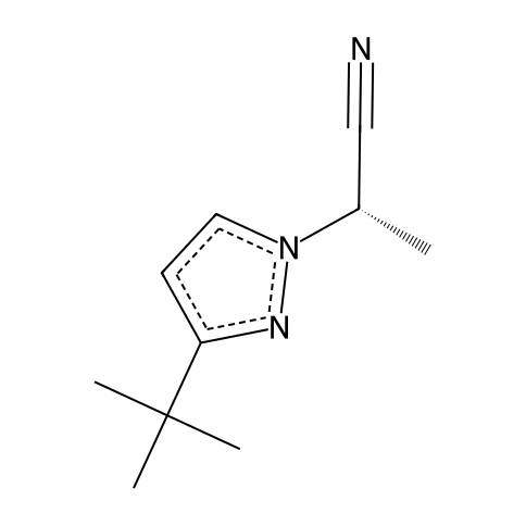 C[C@@H](C#N)n1ccc(C(C)(C)C)n1